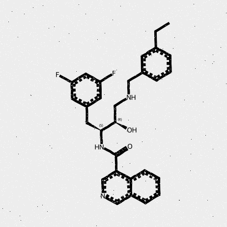 CCc1cccc(CNC[C@@H](O)[C@H](Cc2cc(F)cc(F)c2)NC(=O)c2cncc3ccccc23)c1